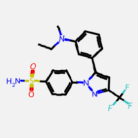 CCN(C)c1cccc(-c2cc(C(F)(F)F)nn2-c2ccc(S(N)(=O)=O)cc2)c1